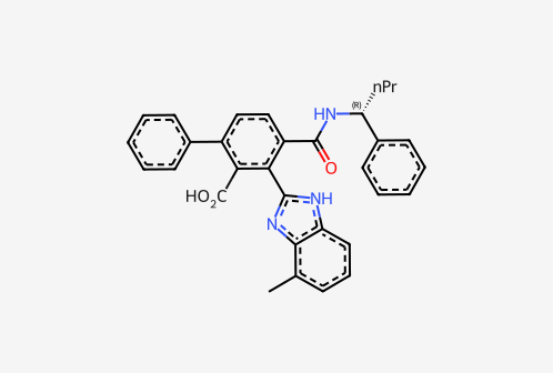 CCC[C@@H](NC(=O)c1ccc(-c2ccccc2)c(C(=O)O)c1-c1nc2c(C)cccc2[nH]1)c1ccccc1